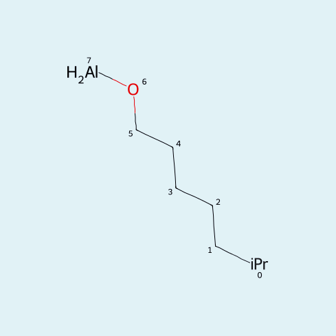 CC(C)CCCCC[O][AlH2]